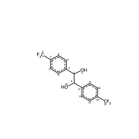 OC(c1ccc(C(F)(F)F)cc1)C(O)c1ccc(C(F)(F)F)cc1